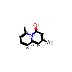 CC(=O)c1cc(=O)n2c(C)cccc2c1